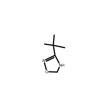 CC(C)(C)C1=NOCN1